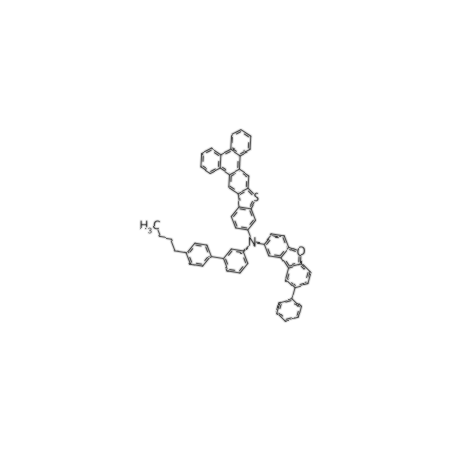 CCCCc1ccc(-c2cccc(N(c3ccc4c(c3)sc3cc5c6ccccc6c6ccccc6c5cc34)c3ccc4oc5ccc(-c6ccccc6)cc5c4c3)c2)cc1